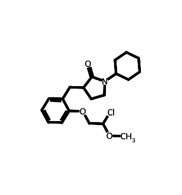 COC(Cl)COc1ccccc1CC1CCN(C2CCCCC2)C1=O